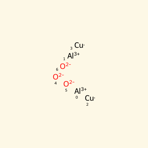 [Al+3].[Al+3].[Cu].[Cu].[O-2].[O-2].[O-2]